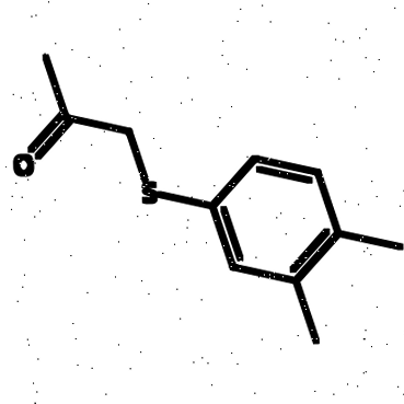 CC(=O)CSc1ccc(C)c(C)c1